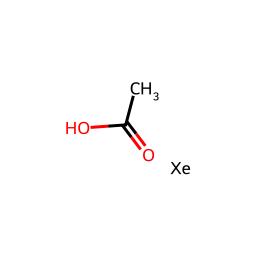 CC(=O)O.[Xe]